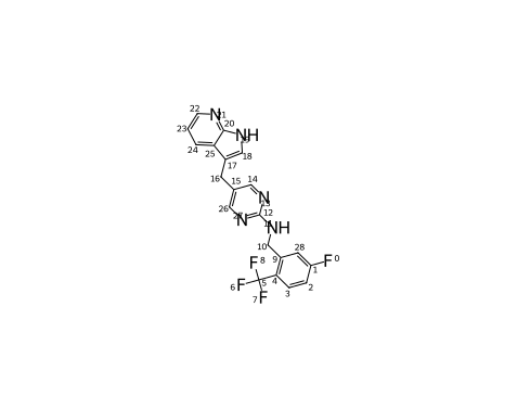 Fc1ccc(C(F)(F)F)c(CNc2ncc(Cc3c[nH]c4ncccc34)cn2)c1